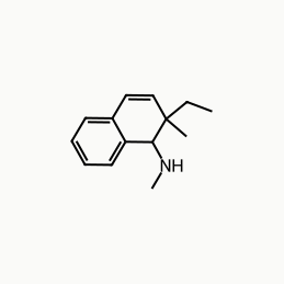 CCC1(C)C=Cc2ccccc2C1NC